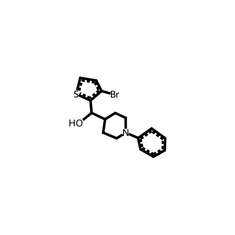 OC(c1sccc1Br)C1CCN(c2ccccc2)CC1